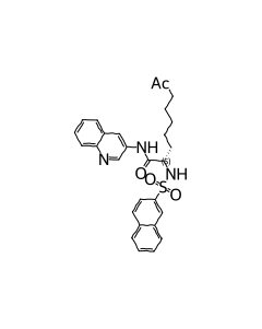 CC(=O)CCCCC[C@H](NS(=O)(=O)c1ccc2ccccc2c1)C(=O)Nc1cnc2ccccc2c1